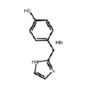 Br.Oc1ccc(Cc2ncc[nH]2)cc1